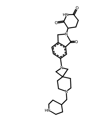 O=C1CCC(N2Cc3ccc(N4CC5(CCN(CC6CCNCC6)CC5)C4)cc3C2=O)C(=O)N1